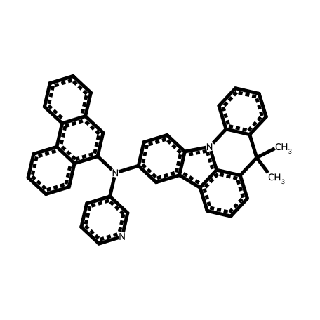 CC1(C)c2ccccc2-n2c3ccc(N(c4cccnc4)c4cc5ccccc5c5ccccc45)cc3c3cccc1c32